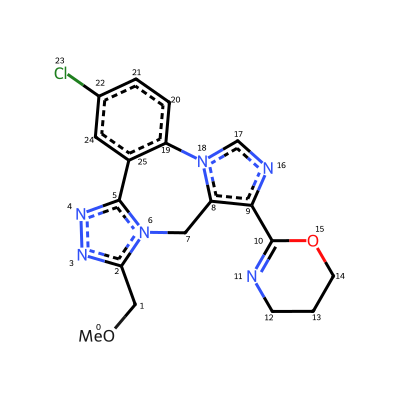 COCc1nnc2n1Cc1c(C3=NCCCO3)ncn1-c1ccc(Cl)cc1-2